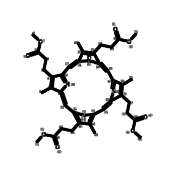 COC(=O)CCC1=C(C)c2cc3[nH]c(cc4nc(cc5[nH]c(cc1n2)c(C)c5CCC(=O)OC)C(C)=C4CCC(=O)OC)c(C)c3CCC(=O)OC